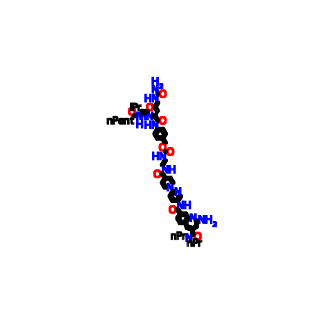 CCCCCC(=O)N[C@H](C(=O)N[C@@H](CCCNC(N)=O)C(=O)Nc1ccc(COC(=O)NCCNC(=O)C2CCN(c3ccc(NC(=O)c4ccc5c(c4)N=C(N)CC(C(=O)N(CCC)CCC)=C5)cn3)CC2)cc1)C(C)C